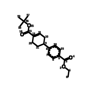 CCOC(=O)c1ccc(C2CC=C(C(=O)OC(C)(C)C)CC2)cc1